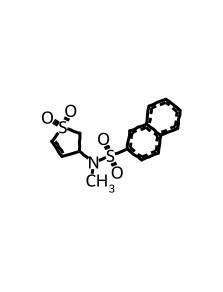 CN(C1C=CS(=O)(=O)C1)S(=O)(=O)c1ccc2ccccc2c1